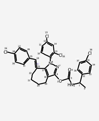 CC(NC(=O)Oc1nn(-c2ccc(Cl)cc2Cl)c2c1CCCC/C2=C\c1ccc(Cl)cc1)c1ccc(Cl)cc1